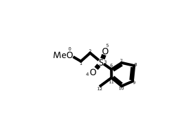 [CH2]OCCS(=O)(=O)c1ccccc1C